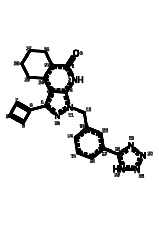 O=c1[nH]c2c(c(C3=CC=C3)nn2Cc2cccc(-c3nnn[nH]3)c2)c2c1CCCC2